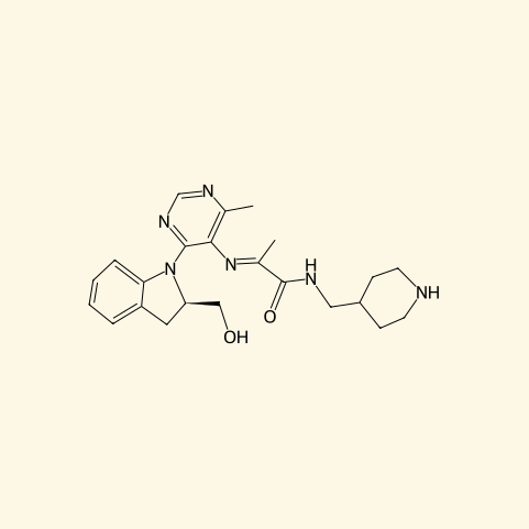 C/C(=N\c1c(C)ncnc1N1c2ccccc2C[C@@H]1CO)C(=O)NCC1CCNCC1